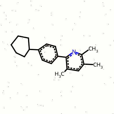 Cc1cc(C)c(-c2ccc(C3CCCCC3)cc2)nc1C